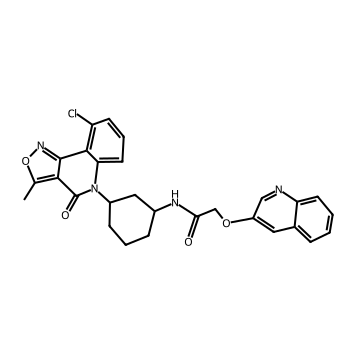 Cc1onc2c1c(=O)n(C1CCCC(NC(=O)COc3cnc4ccccc4c3)C1)c1cccc(Cl)c21